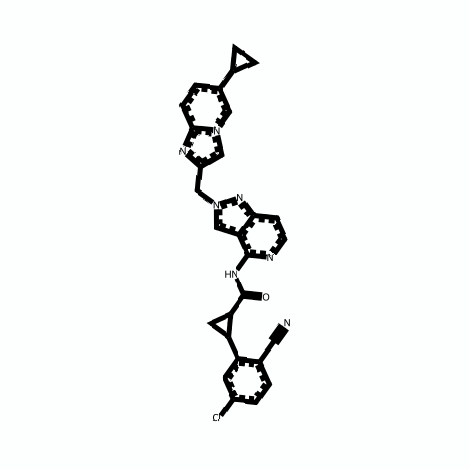 N#Cc1ccc(Cl)cc1C1CC1C(=O)Nc1nccc2nn(Cc3cn4cc(C5CC5)ccc4n3)cc12